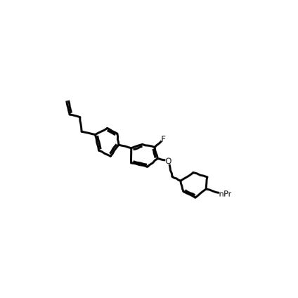 C=CCCc1ccc(-c2ccc(OCC3C=CC(CCC)CC3)c(F)c2)cc1